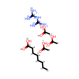 CC(=O)O.CC(=O)O.CC(=O)O.CCCCCCCC(=O)O.N=C(N)NC(=N)N